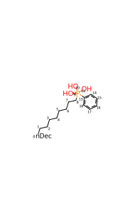 CCCCCCCCCCCCCCCCCCP(O)(O)(O)c1ccccc1